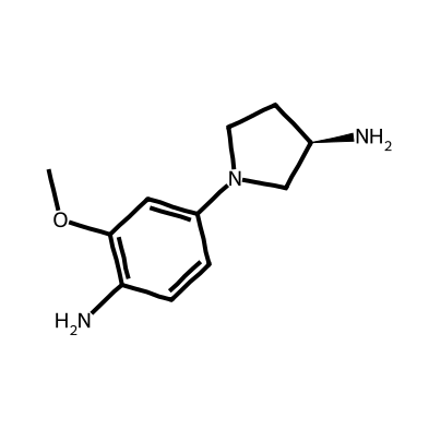 COc1cc(N2CC[C@@H](N)C2)ccc1N